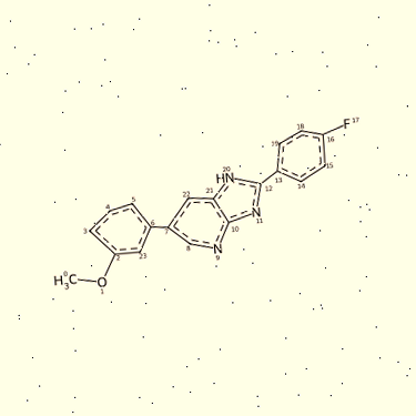 COc1cccc(-c2cnc3nc(-c4ccc(F)cc4)[nH]c3c2)c1